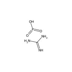 N=C(N)N.O=P(=O)O